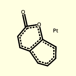 O=c1ccc2ccccc2o1.[Pt]